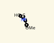 COc1ccc(-c2ccn3c(CC(=O)O)c(-c4ccccc4)nc3c2)cc1